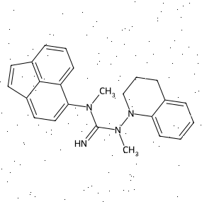 CN(C(=N)N(C)N1CCCc2ccccc21)c1ccc2c3c(cccc13)C=C2